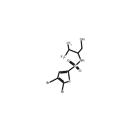 O=S(=O)(NC(CO)C(C(F)(F)F)C(F)(F)F)c1cc(Br)c(Br)s1